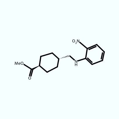 COC(=O)[C@H]1CC[C@H](CNc2ccccc2[N+](=O)[O-])CC1